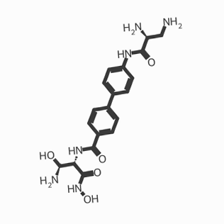 NC[C@H](N)C(=O)Nc1ccc(-c2ccc(C(=O)N[C@H](C(=O)NO)[C@@H](N)O)cc2)cc1